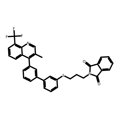 Cc1cnc2c(C(F)(F)F)cccc2c1-c1cccc(-c2cccc(SCCCN3C(=O)c4ccccc4C3=O)c2)c1